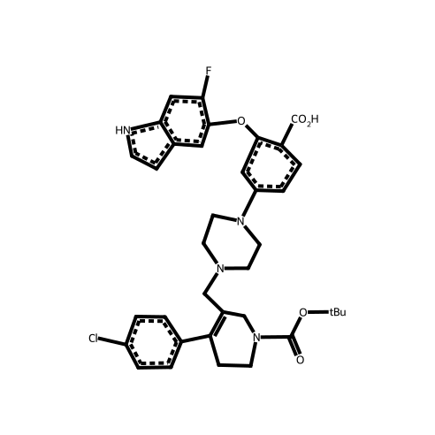 CC(C)(C)OC(=O)N1CCC(c2ccc(Cl)cc2)=C(CN2CCN(c3ccc(C(=O)O)c(Oc4cc5cc[nH]c5cc4F)c3)CC2)C1